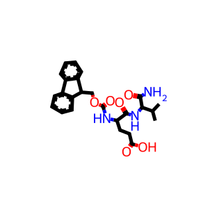 CC(C)C(NC(=O)C(CCC(=O)O)NC(=O)OCC1c2ccccc2-c2ccccc21)C(N)=O